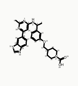 Cc1nc(NC(C)c2cccc(OCC3CCN(C(=O)O)CC3)c2)cc(-c2ccc3ncsc3c2)n1